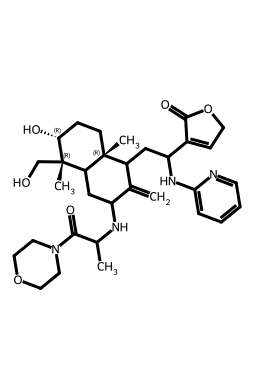 C=C1C(NC(C)C(=O)N2CCOCC2)CC2[C@](C)(CC[C@@H](O)[C@@]2(C)CO)C1CC(Nc1ccccn1)C1=CCOC1=O